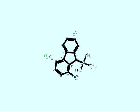 C[Si](C)(C)C1c2ccccc2-c2ccc[c]([Ti+3])c21.[Cl-].[Cl-].[Cl-]